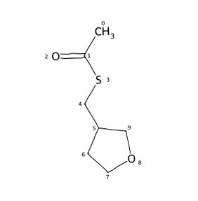 CC(=O)SCC1CCOC1